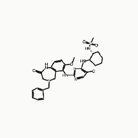 COc1ccc2c(c1Nc1ncc(Cl)c(N[C@@H]3CCCC[C@H]3NS(C)(=O)=O)n1)CN(Cc1ccccc1)CC(=O)N2